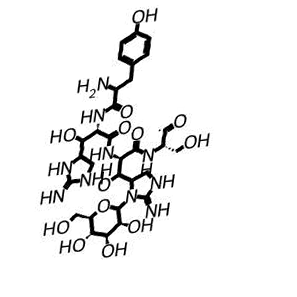 N=C1NCC(C(O)[C@H](NC(=O)C(N)Cc2ccc(O)cc2)C(=O)N[C@@H](C(=O)N[C@H]([C]=O)CO)C(O)C2CNC(=N)N2C2O[C@H](CO)[C@@H](O)[C@H](O)[C@@H]2O)N1